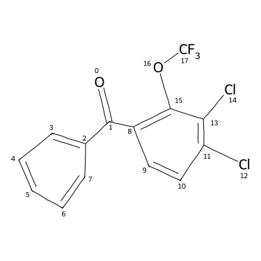 O=C(c1ccccc1)c1ccc(Cl)c(Cl)c1OC(F)(F)F